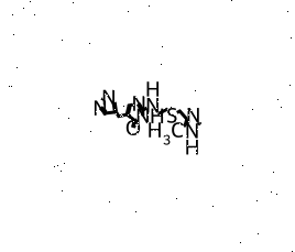 Cc1[nH]cnc1CSCCNc1ncc(Cc2cncnc2)c(=O)[nH]1